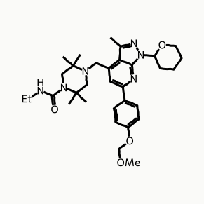 CCNC(=O)N1CC(C)(C)N(Cc2cc(-c3ccc(OCOC)cc3)nc3c2c(C)nn3C2CCCCO2)CC1(C)C